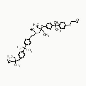 CCC(CC)(CC(O)COc1ccc(C(C)(C)c2ccc(OC(C)(CC)C3CO3)cc2)cc1)Oc1ccc(C(C)(C)c2ccc(OCC3CO3)cc2)cc1